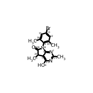 Cc1nc(O)c2c(n1)N(c1c(C)cc(Br)cc1C)C(=O)C2C